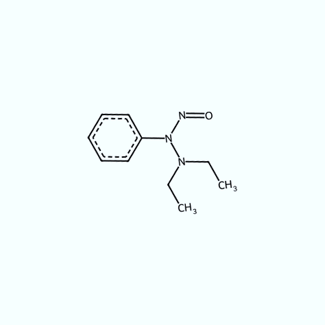 CCN(CC)N(N=O)c1ccccc1